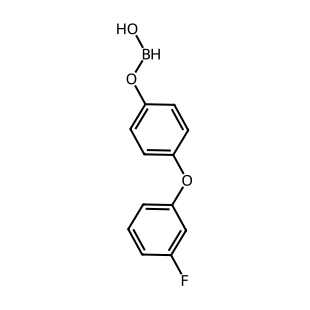 OBOc1ccc(Oc2cccc(F)c2)cc1